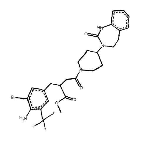 COC(=O)C(CC(=O)N1CCC(N2CCc3ccccc3NC2=O)CC1)Cc1cc(Br)c(N)c(C(F)(F)F)c1